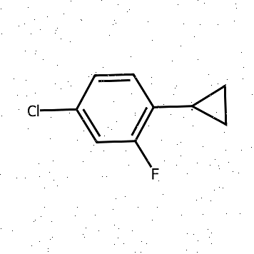 Fc1cc(Cl)ccc1[C]1CC1